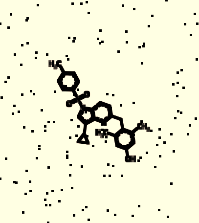 Cc1ccc(S(=O)(=O)n2cc(C3CC3)c3nc(Cc4c(C)cc(O)cc4C)ccc32)cc1